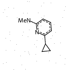 CNc1cccc(C2CC2)n1